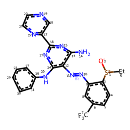 CC[S+]([O-])c1ccc(C(F)(F)F)cc1/N=N/c1c(N)nc(-c2cnccn2)nc1Nc1ccccc1